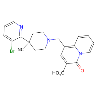 N#CC1(c2ncccc2Br)CCN(Cc2cc(C(=O)O)c(=O)n3ccccc23)CC1